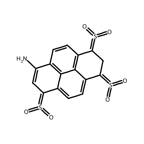 NC1=CC(=S(=O)=O)c2ccc3c4c(ccc1c24)C(=S(=O)=O)CC3=S(=O)=O